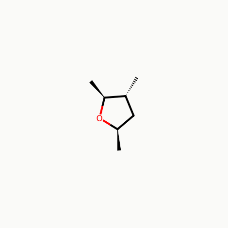 C[C@@H]1C[C@@H](C)[C@H](C)O1